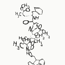 COC(=O)[C@@H](C)C[C@H](Cc1ccccc1)NC(=O)c1csc([C@@H](C[C@H](C(C)C)N(C)C(=O)[C@@H](NC(=O)OCC2c3ccccc3-c3ccccc32)C(C)C)OC(C)=O)n1